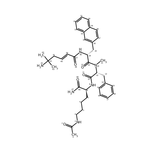 CC(=O)NCCCC[C@H](NC(=O)[C@@H](Cc1ccccc1)N(C)C(=O)[C@@H](Cc1ccc2ccccc2c1)NC(=O)C=CCC(C)(C)N)C(N)=O